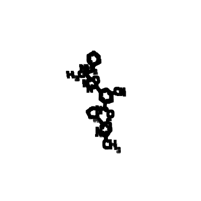 Cc1csc([C@H]2CCCN2C(=O)c2cc(C#N)cc(-c3nnc([C@@](C)(N)Cc4ccccc4)o3)c2)n1